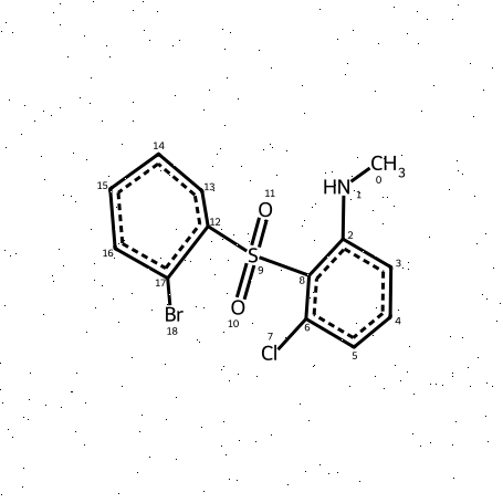 CNc1cccc(Cl)c1S(=O)(=O)c1ccccc1Br